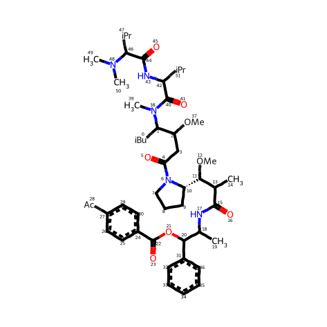 CCC(C)C(C(CC(=O)N1CCC[C@H]1C(OC)C(C)C(=O)NC(C)C(OC(=O)c1ccc(C(C)=O)cc1)c1ccccc1)OC)N(C)C(=O)C(NC(=O)C(C(C)C)N(C)C)C(C)C